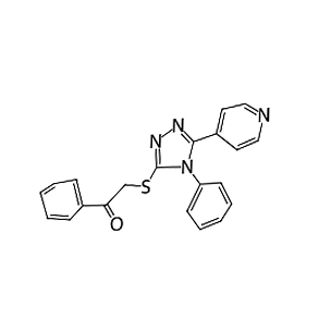 O=C(CSc1nnc(-c2ccncc2)n1-c1ccccc1)c1ccccc1